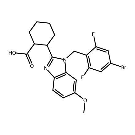 COc1ccc2nc(C3CCCCC3C(=O)O)n(Cc3c(F)cc(Br)cc3F)c2c1